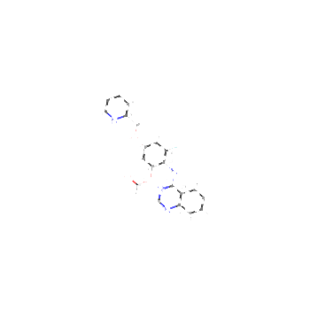 CC(=O)Oc1cc(OCc2ccccn2)cc(F)c1Nc1ncnc2ccccc12